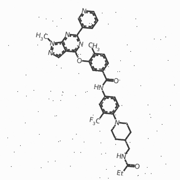 CCC(=O)NCC1CCN(c2ccc(NC(=O)c3ccc(C)c(Oc4nc(-c5cccnc5)nc5c4cnn5C)c3)cc2C(F)(F)F)CC1